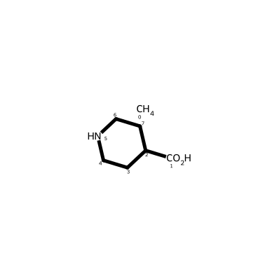 C.O=C(O)C1CCNCC1